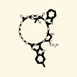 Cc1ccc2c(c1)oc1c3nc(nc12)CCOCCCC(=O)N1CC[C@@H]([C@@H](C)C1)n1c(nc2ccccc21)O[C@H]1C[C@@H](C(=O)O)N3C1